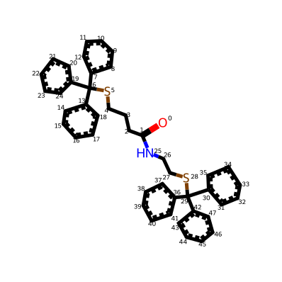 O=C(CCCSC(c1ccccc1)(c1ccccc1)c1ccccc1)NCCSC(c1ccccc1)(c1ccccc1)c1ccccc1